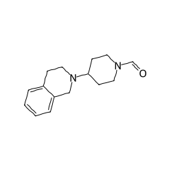 O=CN1CCC(N2CCc3ccccc3C2)CC1